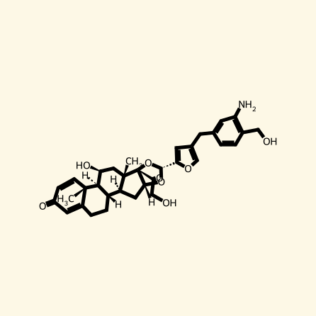 C[C@]12C=CC(=O)C=C1CC[C@@H]1[C@@H]2[C@@H](O)C[C@@]2(C)[C@H]1C[C@H]1O[C@@H](c3cc(Cc4ccc(CO)c(N)c4)co3)O[C@]12C(=O)CO